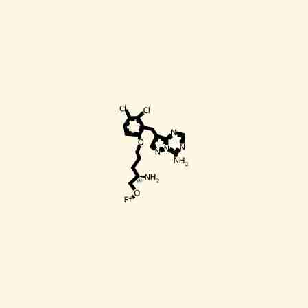 CCOC[C@H](N)CCCOc1ccc(Cl)c(Cl)c1Cc1cnn2c(N)ncnc12